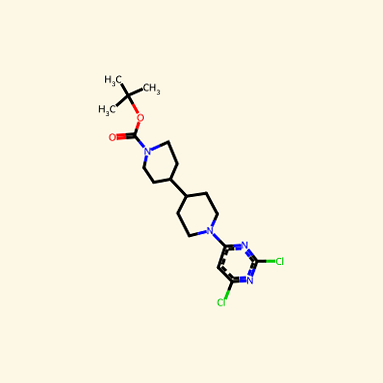 CC(C)(C)OC(=O)N1CCC(C2CCN(c3cc(Cl)nc(Cl)n3)CC2)CC1